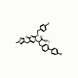 Cn1cc(Cc2cn(C(Cc3ccc(-c4ccc(F)cc4)nc3)C(N)=O)c(SCc3ccc(F)cc3)nc2=O)cn1